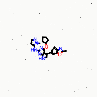 Cc1nc2ccc(-c3c[nH]c4nc(Nc5ccnn5C)nc(OC5CCCC5)c34)cc2o1